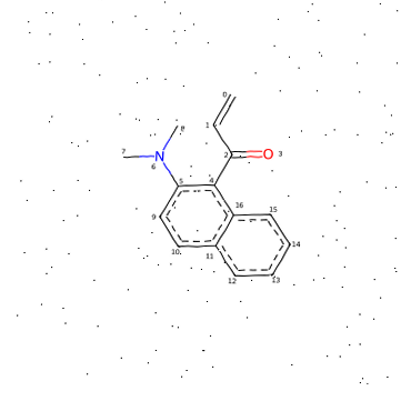 C=CC(=O)c1c(N(C)C)ccc2ccccc12